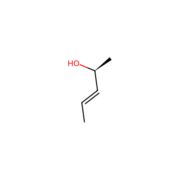 CC=C[C@H](C)O